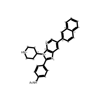 CC(=O)Nc1ccc(-c2nc3cc(-c4ccc5ccccc5c4)cnc3n2C2CCNCC2)cc1